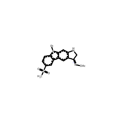 CCn1c2ccc(S(C)(=O)=O)cc2c2cc3c(cc21)NC/C3=N\OC(C)=O